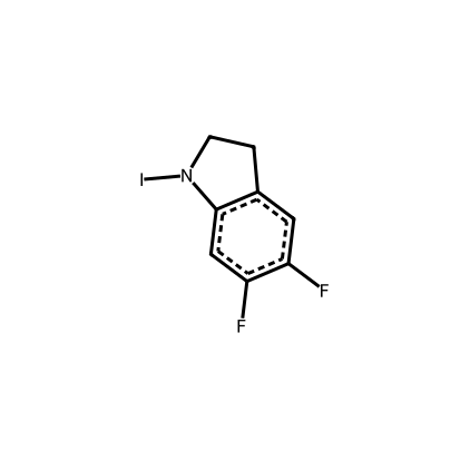 Fc1cc2c(cc1F)N(I)CC2